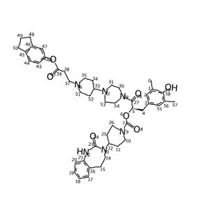 Cc1cc(C[C@@H](OC(=O)N2CCC(N3CCc4ccccc4NC3=O)CC2)C(=O)N2CCN(C3CCN(CCC(=O)Oc4ccc5c(c4)CCC5)CC3)CC2)cc(C)c1O